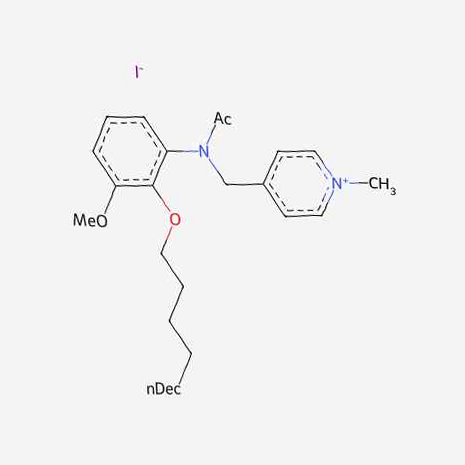 CCCCCCCCCCCCCCOc1c(OC)cccc1N(Cc1cc[n+](C)cc1)C(C)=O.[I-]